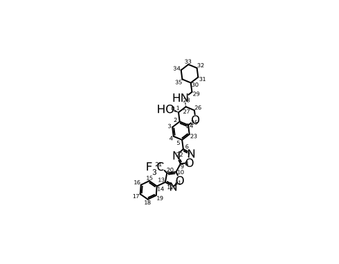 O[C@@H]1c2ccc(-c3noc(-c4onc(-c5ccccc5)c4C(F)(F)F)n3)cc2OC[C@H]1NCC1CCCCC1